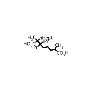 CCCCCCCC(C)(C(=O)O)C(CCCC(C)C(=O)O)(C(C)C)C(C)C